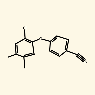 Cc1cc(Cl)c(Oc2ccc(C#N)cc2)cc1C